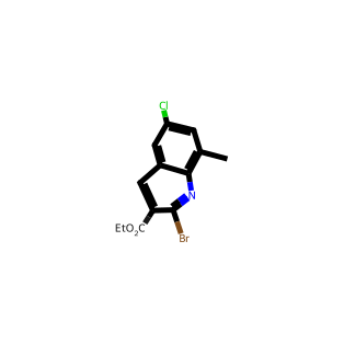 CCOC(=O)c1cc2cc(Cl)cc(C)c2nc1Br